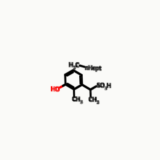 CCCCCCCC.Cc1c(O)cccc1C(C)S(=O)(=O)O